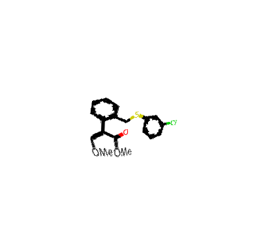 CO/C=C(\C(=O)OC)c1ccccc1CSc1cccc(Cl)c1